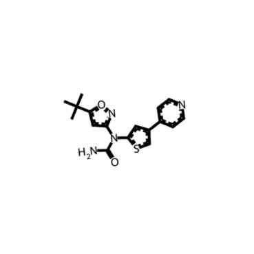 CC(C)(C)c1cc(N(C(N)=O)c2cc(-c3ccncc3)cs2)no1